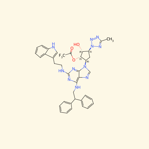 Cc1nnn([C@H]2C[C@@H](n3cnc4c(NCC(c5ccccc5)c5ccccc5)nc(NCCc5c[nH]c6ccccc56)nc43)[C@H](OC(=O)C(F)(F)F)[C@@H]2O)n1